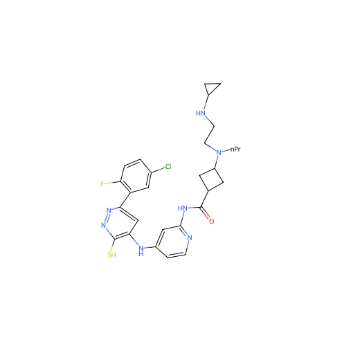 CCCN(CCNC1CC1)C1CC(C(=O)Nc2cc(Nc3cc(-c4cc(Cl)ccc4F)nnc3S)ccn2)C1